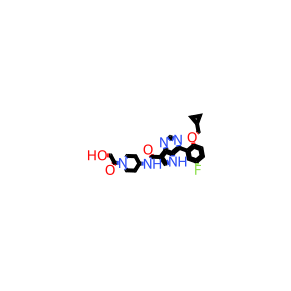 O=C(NC1CCN(C(=O)CO)CC1)c1c[nH]c2c(-c3cc(F)ccc3OCC3CC3)ncnc12